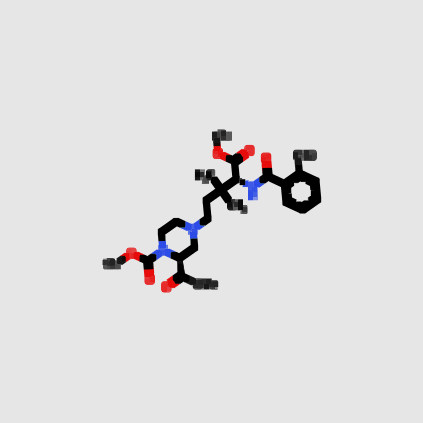 CCCCOC(=O)[C@H](NC(=O)c1ccccc1C=O)C(C)(C)CCN1CCN(C(=O)OC(C)(C)C)[C@H](C(=O)OC)C1